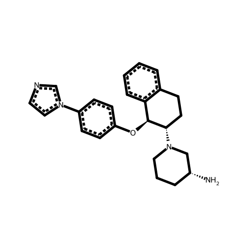 N[C@@H]1CCCN([C@H]2CCc3ccccc3[C@@H]2Oc2ccc(-n3ccnc3)cc2)C1